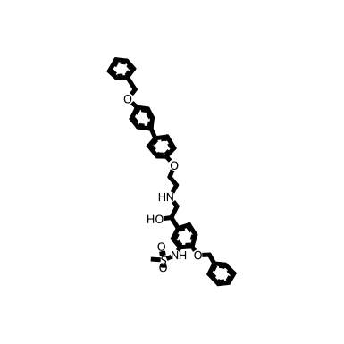 CS(=O)(=O)Nc1cc(C(O)CNCCOc2ccc(-c3ccc(OCc4ccccc4)cc3)cc2)ccc1OCc1ccccc1